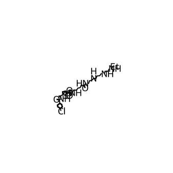 CCNCCCNCCCCNCCCNC(=O)CCCCCNS(=O)(=O)c1ccc(CNC(=O)c2ccc(Cl)cc2)s1